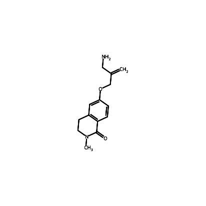 C=C(CN)COc1ccc2c(c1)CCN(C)C2=O